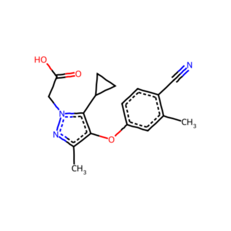 Cc1cc(Oc2c(C)nn(CC(=O)O)c2C2CC2)ccc1C#N